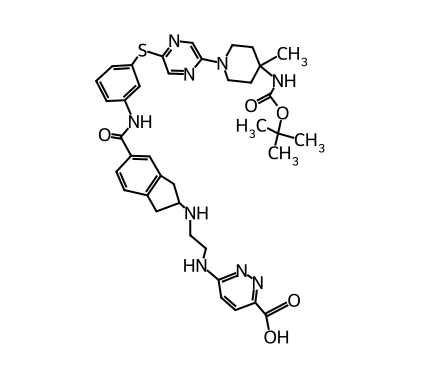 CC1(NC(=O)OC(C)(C)C)CCN(c2cnc(Sc3cccc(NC(=O)c4ccc5c(c4)CC(NCCNc4ccc(C(=O)O)nn4)C5)c3)cn2)CC1